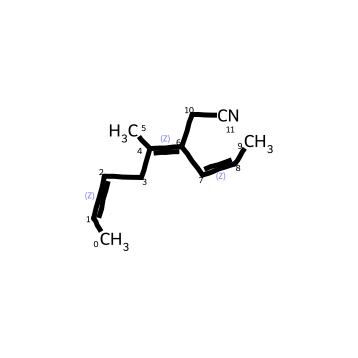 C/C=C\C/C(C)=C(\C=C/C)CC#N